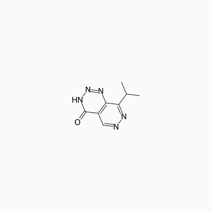 CC(C)c1nncc2c(=O)[nH]nnc12